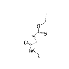 CCOC(=S)SCC(N)=O